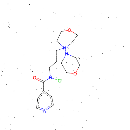 O=C(c1ccncc1)N(Cl)CCC[N+]1(N2CCOCC2)CCOCC1